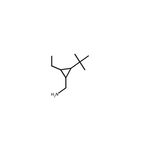 CCC1C(CN)C1C(C)(C)C